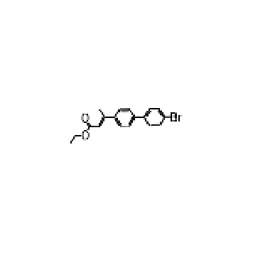 CCOC(=O)C=C(C)c1ccc(-c2ccc(Br)cc2)cc1